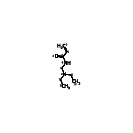 C=CC(=O)NCN(CC)CC